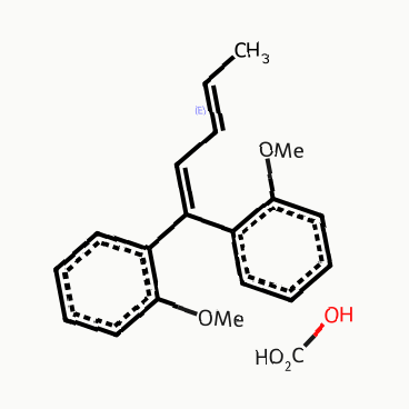 C/C=C/C=C(c1ccccc1OC)c1ccccc1OC.O=C(O)O